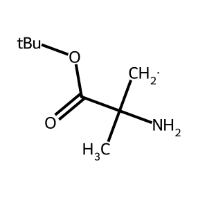 [CH2]C(C)(N)C(=O)OC(C)(C)C